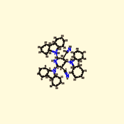 N#Cc1c(-n2c3ccccc3c3ccccc32)nc(-n2c3ccccc3c3ccccc32)c(C#N)c1-n1c2ccccc2c2ccccc21